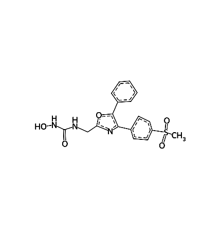 CS(=O)(=O)c1ccc(-c2nc(CNC(=O)NO)oc2-c2ccccc2)cc1